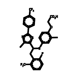 Cc1cc(SC(Cc2c(F)cccc2C(F)(F)F)c2sc(-c3ccc(C(F)(F)F)cc3)nc2C)ccc1OCC(=O)O